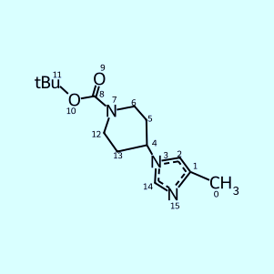 Cc1cn(C2CCN(C(=O)OC(C)(C)C)CC2)cn1